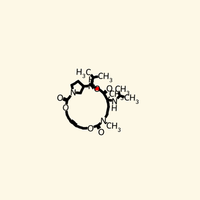 CC(C)N[C@@]1(C)CCN(C)C(=O)OCC=CCOC(=O)N2CC[C@@](C(=O)C(C)C)(C2)NCC1=O